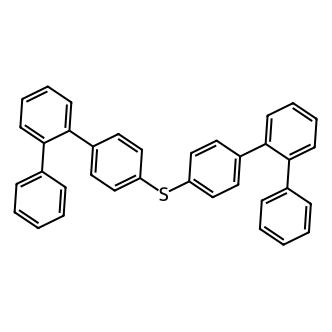 c1ccc(-c2ccccc2-c2ccc(Sc3ccc(-c4ccccc4-c4ccccc4)cc3)cc2)cc1